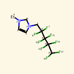 CCN1C=CN(CC(F)(F)C(F)(F)C(F)(F)C(F)F)C1